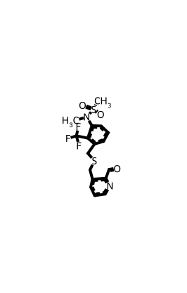 CN(c1cccc(CSCc2cccnc2C=O)c1C(F)(F)F)S(C)(=O)=O